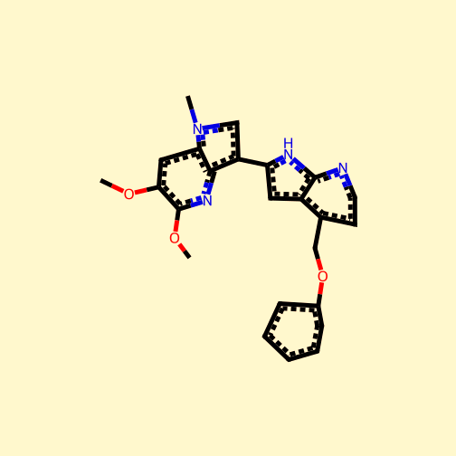 COc1cc2c(nc1OC)c(-c1cc3c(COc4ccccc4)ccnc3[nH]1)cn2C